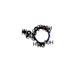 COC1C(=O)[C@H](CO)C[C@H](O)/C=C/C=C/C=C(\C)[C@@H](OC)C[C@]2(O)CC[C@@H](C)[C@@](O)(O2)C(=O)C(=O)N2CCCCC2C(=O)O[C@H]([C@H](O)C[C@@H]2CCC(n3cnnn3)[C@H](OO)C2)CC(=O)[C@H](C)/C=C(\C)[C@H]1O